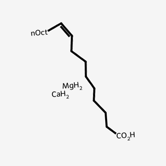 CCCCCCCC/C=C\CCCCCCCC(=O)O.[CaH2].[MgH2]